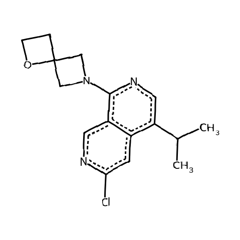 CC(C)c1cnc(N2CC3(CCO3)C2)c2cnc(Cl)cc12